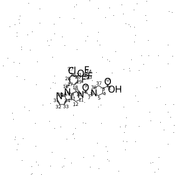 O=C(O)C1CCN(CC(=O)N2CCc3c(n(Cc4ccc(OC(F)(F)F)c(Cl)c4)c4ncccc34)C2)CC1